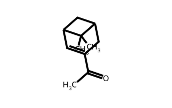 CC(=O)C1=CC2CC(C1)C2(C)C